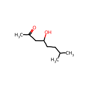 CC(=O)CC(O)CCC(C)C